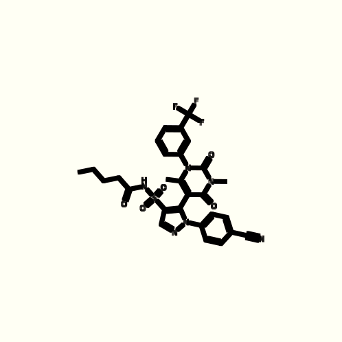 CCCCC(=O)NS(=O)(=O)c1cnn(-c2ccc(C#N)cc2)c1-c1c(C)n(-c2cccc(C(F)(F)F)c2)c(=O)n(C)c1=O